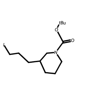 CC(C)(C)OC(=O)N1CCCC(CCCI)C1